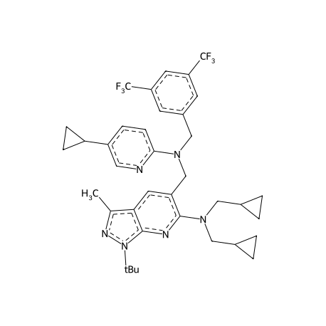 Cc1nn(C(C)(C)C)c2nc(N(CC3CC3)CC3CC3)c(CN(Cc3cc(C(F)(F)F)cc(C(F)(F)F)c3)c3ccc(C4CC4)cn3)cc12